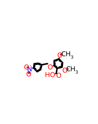 COc1cc(OC)c(C(=O)O)c(OCc2ccc([N+](=O)[O-])cc2)c1